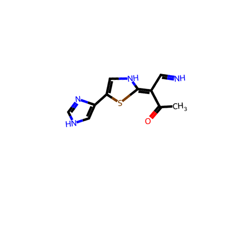 CC(=O)/C(C=N)=C1/NC=C(c2c[nH]cn2)S1